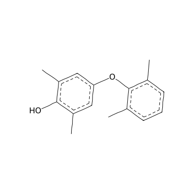 Cc1cc(Oc2c(C)cccc2C)cc(C)c1O